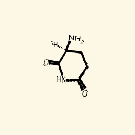 [2H][C@]1(N)CCC(=O)NC1=O